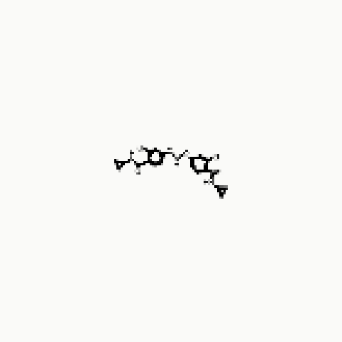 O=C(NC1CC1)c1ccc(OBOc2ccc(C(=O)NC3CC3)c(Cl)c2)cc1Cl